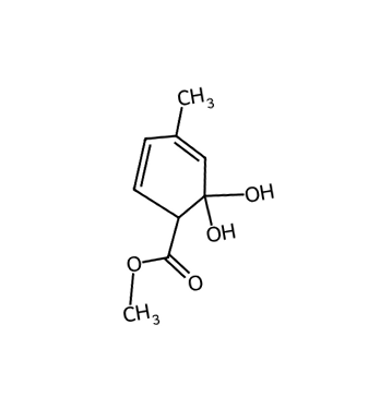 COC(=O)C1C=CC(C)=CC1(O)O